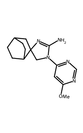 COc1cc(N2CC3(CC4CCC3CC4)N=C2N)ncn1